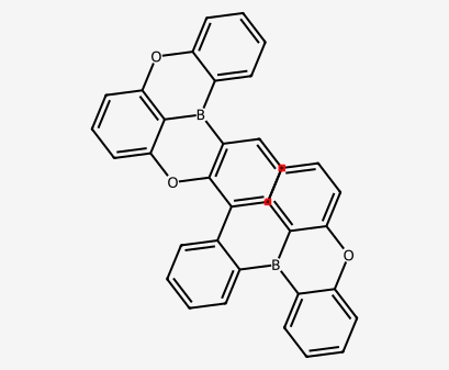 c1ccc2c(c1)Oc1ccccc1B2c1ccccc1-c1cccc2c1Oc1cccc3c1B2c1ccccc1O3